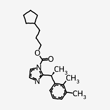 Cc1cccc([C@H](C)c2nccn2C(=O)OCCCC2CCCC2)c1C